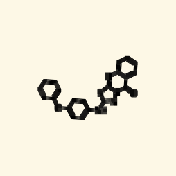 O=c1c2ccccc2nc2sc(Nc3ccc(Oc4ccccc4)cc3)nn12